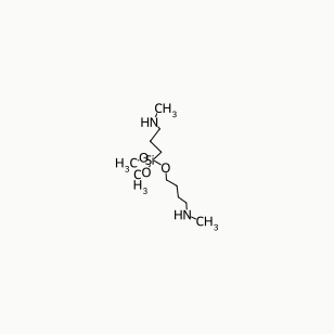 CNCCCCO[Si](CCCNC)(OC)OC